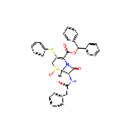 O=C(Cc1ccccc1)N[C@@H]1C(=O)N2C(C(=O)OC(c3ccccc3)c3ccccc3)=C(Sc3ccccc3)C[S+]([O-])[C@@H]12